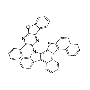 c1ccc(-c2nc3oc4ccccc4c3nc2-n2c3ccccc3c3c4ccccc4c4c(sc5ccc6ccccc6c54)c32)cc1